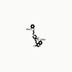 COc1ccc2ncc(Cl)c(CCCC3(CO)CCN(CCCSc4ccccc4OC)CC3)c2c1